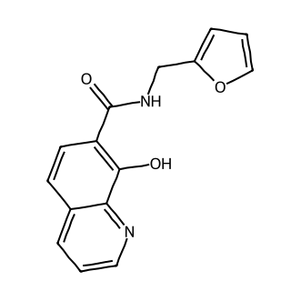 O=C(NCc1ccco1)c1ccc2cccnc2c1O